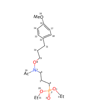 CCOP(=O)(CCCN(OCCCc1ccc(OC)cc1)C(C)=O)OCC